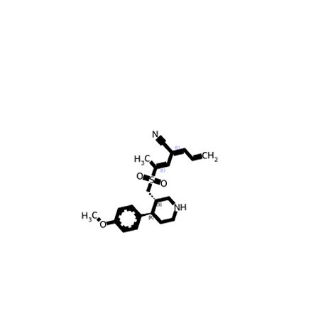 C=C/C=C(C#N)\C=C(/C)S(=O)(=O)C[C@@H]1CNCC[C@H]1c1ccc(OC)cc1